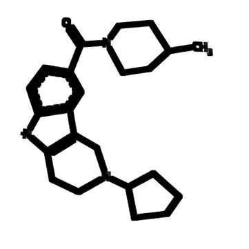 CC1CCN(C(=O)c2ccc3c(c2)C2=C(CCN(C4CCCC4)C2)[N]3)CC1